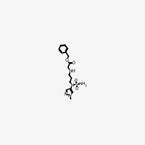 Cn1cc(N(CCCNCC(=O)OCc2ccccc2)S(N)(=O)=O)cn1